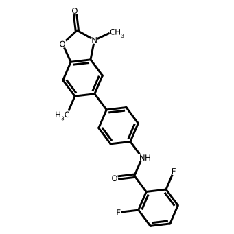 Cc1cc2oc(=O)n(C)c2cc1-c1ccc(NC(=O)c2c(F)cccc2F)cc1